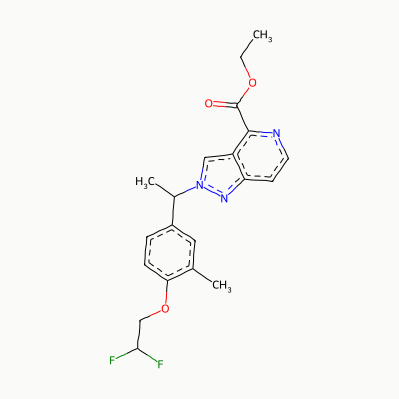 CCOC(=O)c1nccc2nn(C(C)c3ccc(OCC(F)F)c(C)c3)cc12